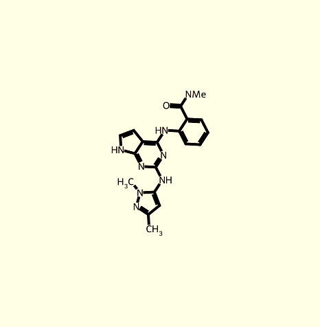 CNC(=O)c1ccccc1Nc1nc(Nc2cc(C)nn2C)nc2[nH]ccc12